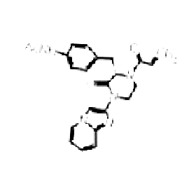 C=CC(=O)N1CCN(c2cn3ccccc3n2)C(=O)[C@H]1Cc1ccc(NC(C)=O)cc1